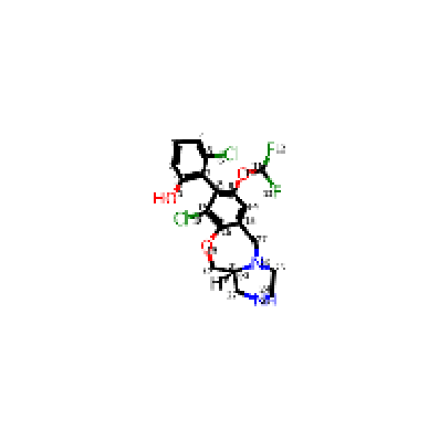 Oc1cccc(Cl)c1-c1c(OC(F)F)cc2c(c1Cl)OC[C@H]1CNCCN1C2